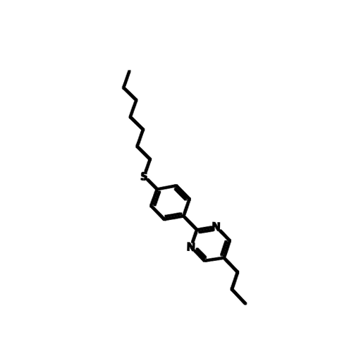 CCCCCCCSc1ccc(-c2ncc(CCC)cn2)cc1